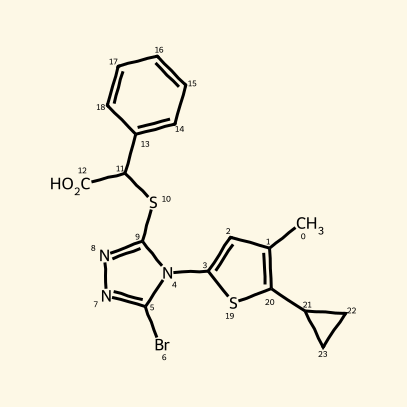 Cc1cc(-n2c(Br)nnc2SC(C(=O)O)c2ccccc2)sc1C1CC1